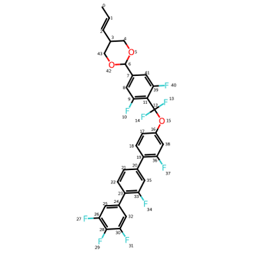 C/C=C/C1COC(c2cc(F)c(C(F)(F)Oc3ccc(-c4ccc(-c5cc(F)c(F)c(F)c5)c(F)c4)c(F)c3)c(F)c2)OC1